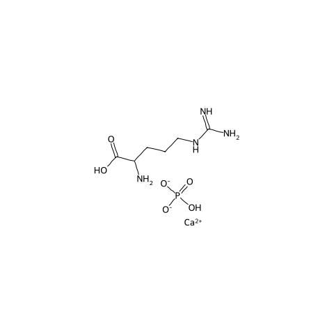 N=C(N)NCCCC(N)C(=O)O.O=P([O-])([O-])O.[Ca+2]